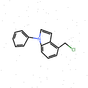 ClCc1cccc2c1ccn2-c1ccccc1